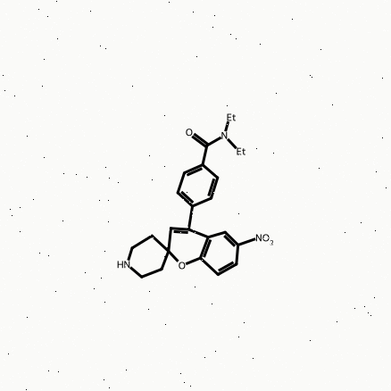 CCN(CC)C(=O)c1ccc(C2=CC3(CCNCC3)Oc3ccc([N+](=O)[O-])cc32)cc1